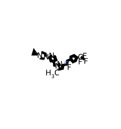 Cc1cc(/C(F)=C/c2ccc(OC(F)(F)F)cc2)nn1Cc1ccnc(N2CCN(C3CC3)CC2)c1